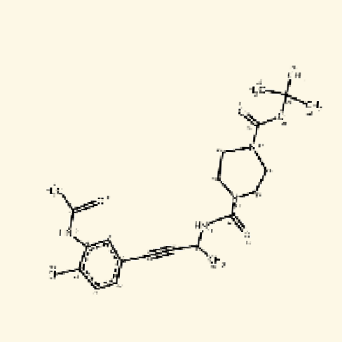 CC(=O)Nc1cc(C#CC(C)NC(=O)N2CCN(C(=O)OC(C)(C)C)CC2)ccc1Cl